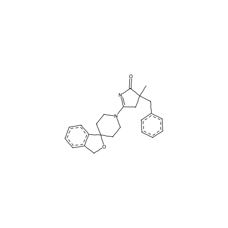 CC1(Cc2ccccc2)CC(N2CCC3(CC2)OCc2ccccc23)=NC1=O